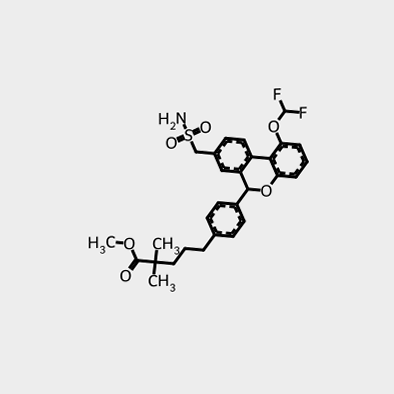 COC(=O)C(C)(C)CCCc1ccc(C2Oc3cccc(OC(F)F)c3-c3ccc(CS(N)(=O)=O)cc32)cc1